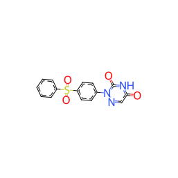 O=c1cnn(-c2ccc(S(=O)(=O)c3ccccc3)cc2)c(=O)[nH]1